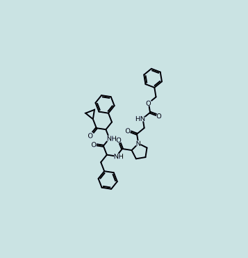 O=C(NCC(=O)N1CCCC1C(=O)NC(Cc1ccccc1)C(=O)NC(Cc1ccccc1)C(=O)C1CC1)OCc1ccccc1